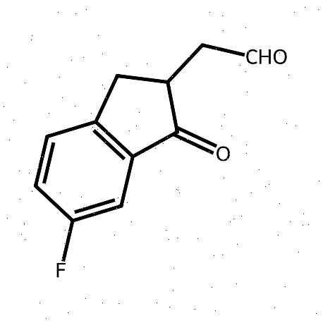 O=CCC1Cc2ccc(F)cc2C1=O